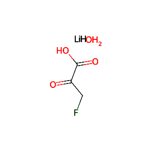 O.O=C(O)C(=O)CF.[LiH]